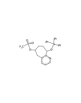 CC(C)[Si](OC1CCC(OS(=O)(=O)C(F)(F)F)Cc2cccnc21)(C(C)C)C(C)C